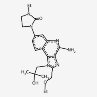 CCOCc1nc2c(N)nc3cc(N4CCN(CC)C4=O)ccc3c2n1CC(C)(C)O